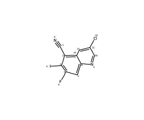 N#Cc1c(I)c(F)cc2ncc(Cl)cc12